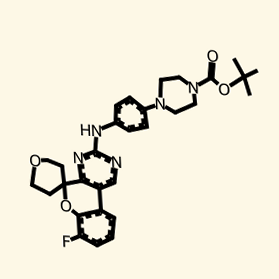 CC(C)(C)OC(=O)N1CCN(c2ccc(Nc3ncc4c(n3)C3(CCOCC3)Oc3c(F)cccc3-4)cc2)CC1